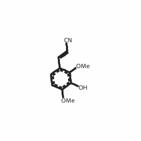 COc1ccc(C=CC#N)c(OC)c1O